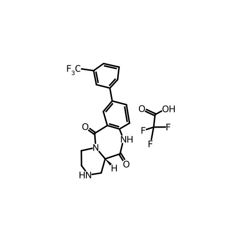 O=C(O)C(F)(F)F.O=C1Nc2ccc(-c3cccc(C(F)(F)F)c3)cc2C(=O)N2CCNC[C@@H]12